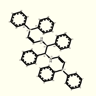 C(=C/P(c1ccccc1)c1ccccc1)/N[C@@H](c1ccccc1)[C@@H](N/C=C\P(c1ccccc1)c1ccccc1)c1ccccc1